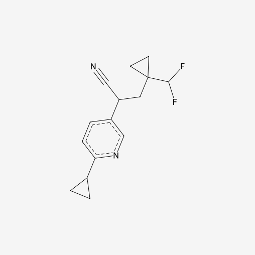 N#CC(CC1(C(F)F)CC1)c1ccc(C2CC2)nc1